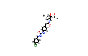 CC(C)(O)C1CN(C(=O)Cc2ccc(NC(=O)NCc3ccc(Cl)cc3)cc2)C1